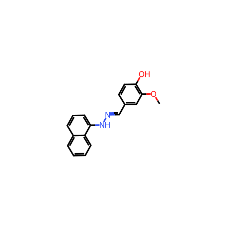 COc1cc(C=NNc2cccc3ccccc23)ccc1O